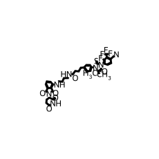 CC1(C)C(=O)N(c2ccc(C#N)c(C(F)(F)F)c2F)C(=S)N1c1ccc(CCCC(=O)NCCCCNc2cccc3c2C(=O)N(C2CCC(=O)NC2=O)C3=O)cc1